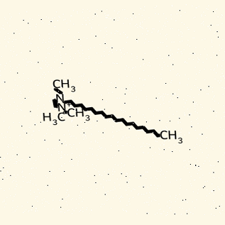 CCCCCCCCCCCCCCCCCCCc1n(CCC)cc[n+]1C(C)C